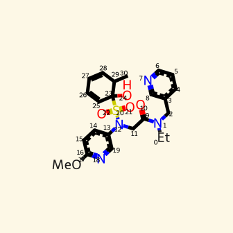 CCN(Cc1cccnc1)C(=O)CN(c1ccc(OC)nc1)S(=O)(=O)C1(O)C=CC=CC1C